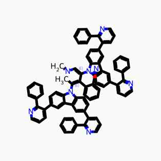 C=N/C=C(\C(=C(/C)n1c2ccc(-c3cccnc3-c3ccccc3)cc2c2cc(-c3cccnc3-c3ccccc3)ccc21)c1ccccc1C#N)n1c2ccc(-c3cccnc3-c3ccccc3)cc2c2cc(-c3cccnc3-c3ccccc3)ccc21